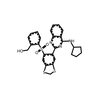 O=S(=O)(c1ccccc1CO)c1cc2c(cc1-c1nc(NC3CCCC3)c3ccccc3n1)SCS2